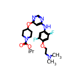 CC(C)OC(=O)N1CCC(Oc2cc(Nc3cc(F)c(OCCN(C)C)cc3F)ncn2)CC1